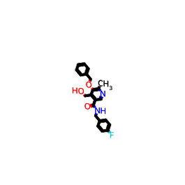 Cc1ncc(C(=O)NCc2ccc(F)cc2)c(CO)c1OCc1ccccc1